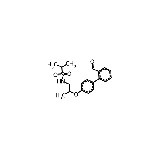 CC(CNS(=O)(=O)C(C)C)Oc1ccc(-c2ccccc2C=O)cc1